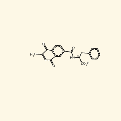 CC1=CC(=O)c2cc(C(=O)N[C@@H](Cc3ccccc3)C(=O)O)ccc2C1=O